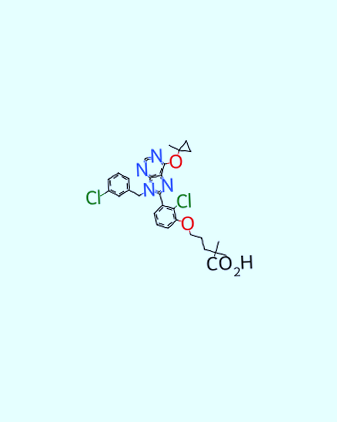 CC1(Oc2ncnc3c2nc(-c2cccc(OCCCC(C)(C)C(=O)O)c2Cl)n3Cc2cccc(Cl)c2)CC1